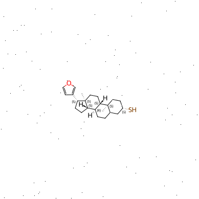 C[C@]12CC[C@H]3[C@@H](CCC4C[C@@H](S)CC[C@@]43C)[C@@H]1CC[C@@H]2c1ccoc1